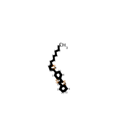 CCCCCCCCc1ccc(-c2ccc3c(c2)sc2c4ccccc4sc32)s1